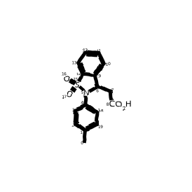 Cc1ccc(N2C(CC(=O)O)c3ccccc3S2(=O)=O)cc1